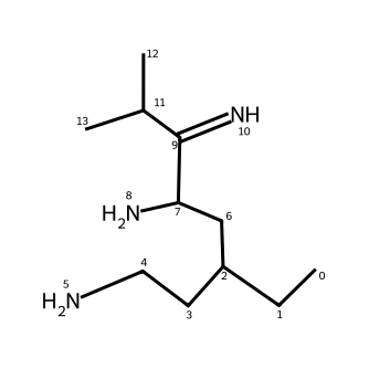 CCC(CCN)CC(N)C(=N)C(C)C